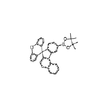 CC1(C)OB(c2ccc3c(c2)-c2c(ccc4ccccc24)C32c3ccccc3Oc3ccccc32)OC1(C)C